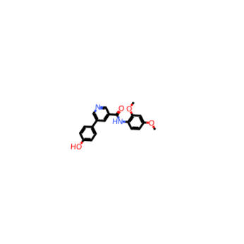 COc1ccc(NC(=O)c2cncc(-c3ccc(O)cc3)c2)c(OC)c1